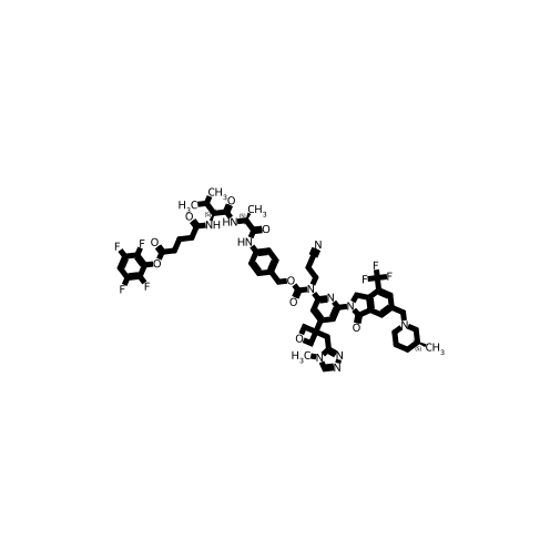 CC(C)[C@H](NC(=O)CCCC(=O)Oc1c(F)c(F)cc(F)c1F)C(=O)N[C@@H](C)C(=O)Nc1ccc(COC(=O)N(CCC#N)c2cc(C3(Cc4nncn4C)COC3)cc(N3Cc4c(cc(CN5CCC[C@H](C)C5)cc4C(F)(F)F)C3=O)n2)cc1